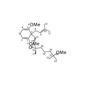 COC1=CCC=C(OC)C1(CC=C(C)C)C[C@@H]1O[C@@]1(C)CCCC(C)(C)OC